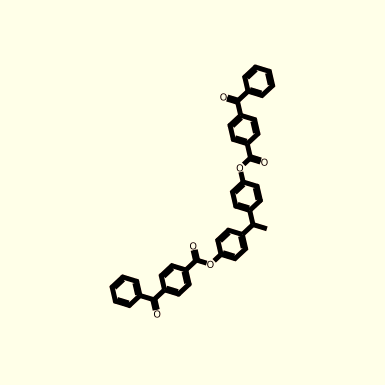 CC(c1ccc(OC(=O)c2ccc(C(=O)c3ccccc3)cc2)cc1)c1ccc(OC(=O)c2ccc(C(=O)c3ccccc3)cc2)cc1